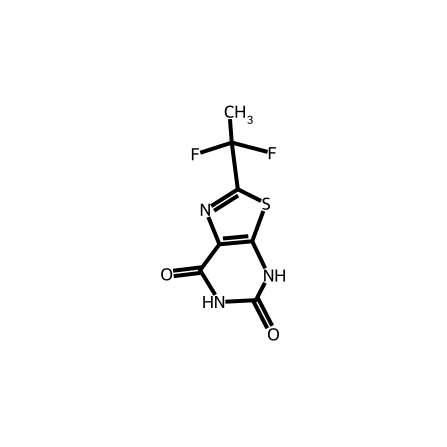 CC(F)(F)c1nc2c(=O)[nH]c(=O)[nH]c2s1